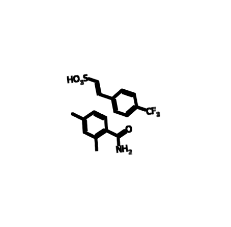 Cc1ccc(C(N)=O)c(C)c1.O=S(=O)(O)C=Cc1ccc(C(F)(F)F)cc1